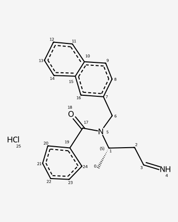 C[C@@H](CC=N)N(Cc1ccc2ccccc2c1)C(=O)c1ccccc1.Cl